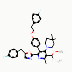 Cc1nc(-c2ncc(Cc3ccc(F)cc3)o2)c(-c2ccc(OCCc3ccc(F)cc3)cc2)c(N2CCC(C)(C)CC2)c1C(OC(C)(C)C)C(=O)O